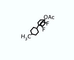 CC(=O)OC12CCC(C3CCC(C)CC3)(CC1)C(F)=C2F